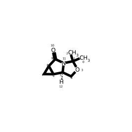 CC1(C)OC[C@H]2C3CC3C(=O)N21